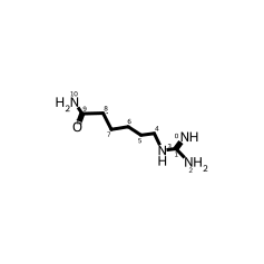 N=C(N)NCCCC[CH]C(N)=O